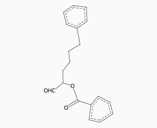 O=CC(CCCCc1ccccc1)OC(=O)c1ccccc1